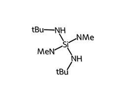 CN[Si](NC)(NC(C)(C)C)NC(C)(C)C